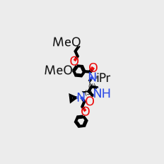 COCCCOc1cc(C(=O)N(C[C@@H]2CNC[C@H]2CN(C(=O)COc2ccccc2)C2CC2)C(C)C)ccc1OC